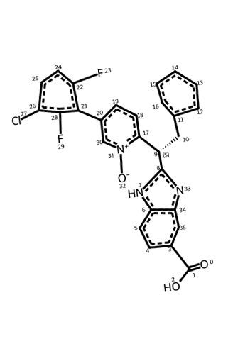 O=C(O)c1ccc2[nH]c([C@@H](Cc3ccccc3)c3ccc(-c4c(F)ccc(Cl)c4F)c[n+]3[O-])nc2c1